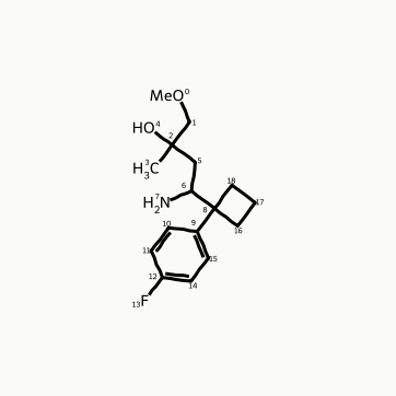 COCC(C)(O)CC(N)C1(c2ccc(F)cc2)CCC1